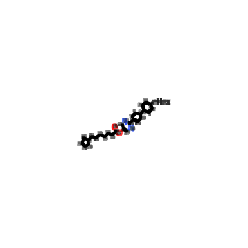 CCCCCCc1ccc(-c2ccc(-c3ncc(OC(=O)CCCCCCC4CCCC4)cn3)cc2)cc1